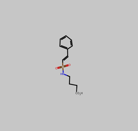 O=C(O)CCCNS(=O)(=O)C=Cc1ccccc1